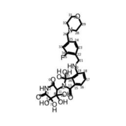 O=C1NC(=O)C(O)(O)C(O)(O)C1N1C(=O)c2cccc(NCc3ccc(CN4CCOCC4)cc3F)c2C1(O)O